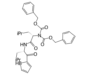 CC(C)C[C@H](NC(=O)[C@H](CC(C)C)N(C(=O)OCc1ccccc1)C(=O)OCc1ccccc1)C(=O)C1=CC=CB1